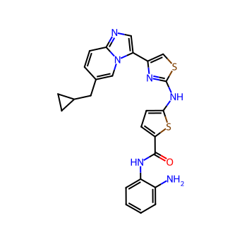 Nc1ccccc1NC(=O)c1ccc(Nc2nc(-c3cnc4ccc(CC5CC5)cn34)cs2)s1